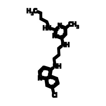 CCCCNc1nc(C)cc(NCCCNc2ccnc3cc(Cl)ccc23)n1